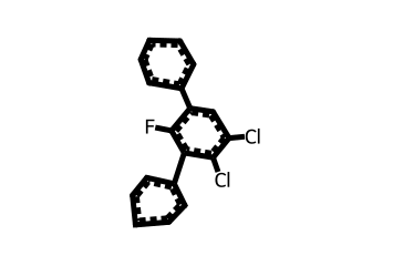 Fc1c(-c2ccccc2)cc(Cl)c(Cl)c1-c1ccccc1